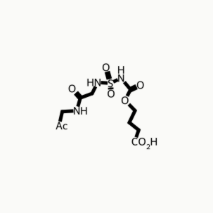 CC(=O)CNC(=O)CNS(=O)(=O)NC(=O)OCCCC(=O)O